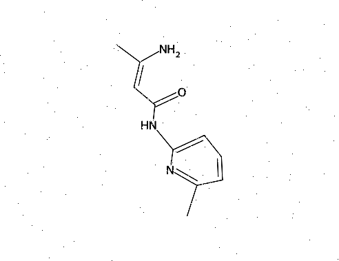 CC(N)=CC(=O)Nc1cccc(C)n1